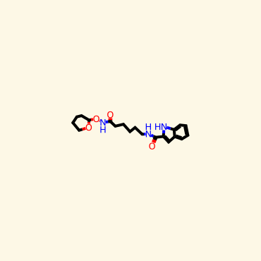 O=C(CCCCCNC(=O)c1cc2ccccc2[nH]1)NOC1CCCCO1